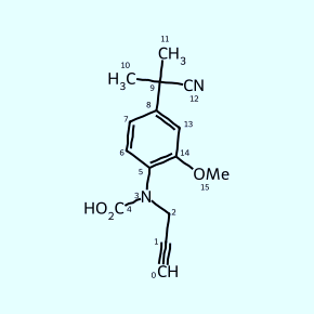 C#CCN(C(=O)O)c1ccc(C(C)(C)C#N)cc1OC